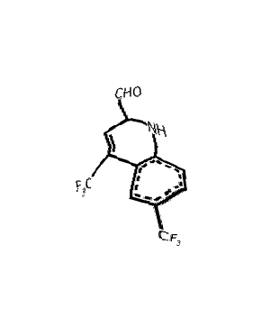 O=CC1C=C(C(F)(F)F)c2cc(C(F)(F)F)ccc2N1